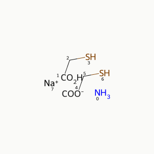 N.O=C(O)CS.O=C([O-])CS.[Na+]